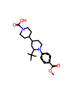 COC(=O)c1ccc(N2CCC(C3CCN(C(=O)O)CC3)CC2C(C)(C)C)cc1